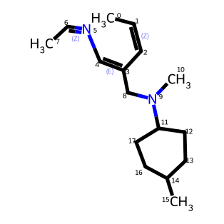 C\C=C/C(=C\N=C/C)CN(C)C1CCC(C)CC1